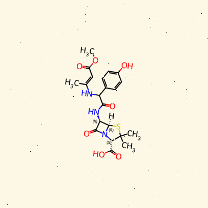 COC(=O)C=C(C)NC(C(=O)N[C@@H]1C(=O)N2[C@@H]1SC(C)(C)[C@@H]2C(=O)O)c1ccc(O)cc1